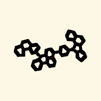 c1ccc(-c2ccccc2N(c2ccc(-c3ccc(-n4c5ccccc5c5ccc6ccccc6c54)cc3)cc2)c2ccc3ccc4ccccc4c3c2)cc1